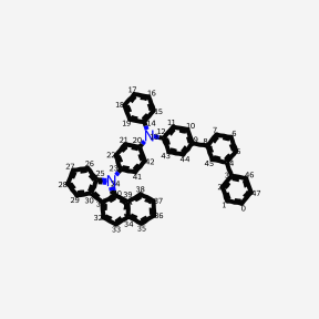 c1ccc(-c2cccc(-c3ccc(N(c4ccccc4)c4ccc(-n5c6ccccc6c6ccc7ccccc7c65)cc4)cc3)c2)cc1